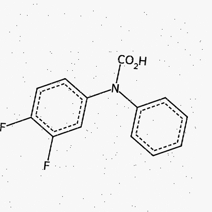 O=C(O)N(c1ccccc1)c1ccc(F)c(F)c1